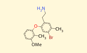 COc1cccc(Oc2cc(Br)c(C)cc2CCN)c1C